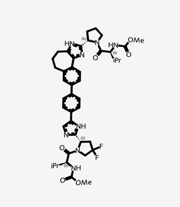 COC(=O)N[C@H](C(=O)N1CC(F)(F)C[C@H]1c1ncc(-c2ccc(-c3ccc4c(c3)CCCc3[nH]c([C@@H]5CCCN5C(=O)[C@@H](NC(=O)OC)C(C)C)nc3-4)cc2)[nH]1)C(C)C